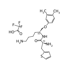 Cc1ccc(OC[C@H](CCCCN)NC(=O)[C@@H](N)Cc2cccs2)cc1C.O=C(O)C(F)(F)F